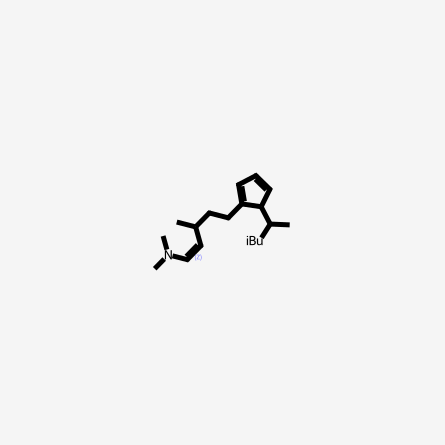 CCC(C)C(C)C1C=CC=C1CCC(C)/C=C\N(C)C